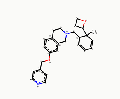 CC1(C2CCO2)C=CC=CC1CN1CCc2ccc(OCc3ccncc3)cc2C1